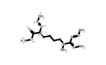 NN=NC(=NN)N(N)CCCC[C@H](N=NN)C(=O)ON